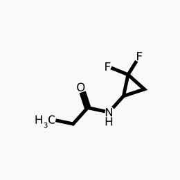 CCC(=O)NC1CC1(F)F